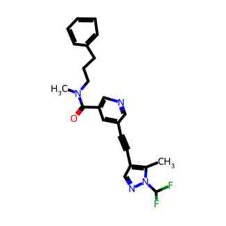 Cc1c(C#Cc2cncc(C(=O)N(C)CCCc3ccccc3)c2)cnn1C(F)F